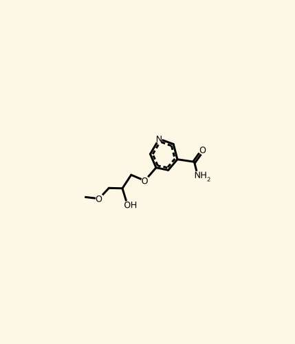 COCC(O)COc1cncc(C(N)=O)c1